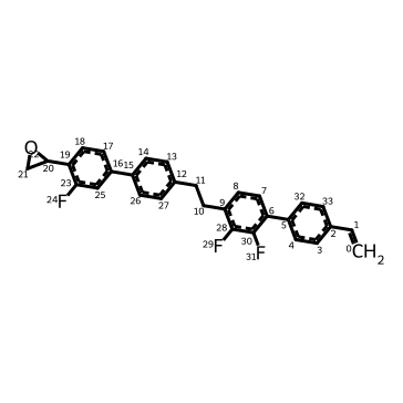 C=Cc1ccc(-c2ccc(CCc3ccc(-c4ccc(C5CO5)c(F)c4)cc3)c(F)c2F)cc1